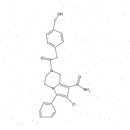 NC(=O)c1c(Cl)c(-c2ccccc2)n2c1CN(C(=O)Cc1ccc(CO)cc1)CC2